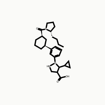 CCCC[C@H]1CCCN1C(=O)[C@@H]1CCC[C@H](c2cccc(N3NCC(C(=O)O)C3C3CC3)c2)C1